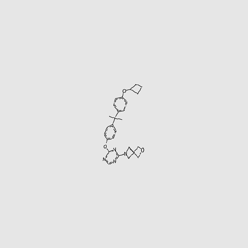 CC(C)(c1ccc(Oc2ncnc(N3CC4(COC4)C3)n2)cc1)c1ccc(OC2CCC2)cc1